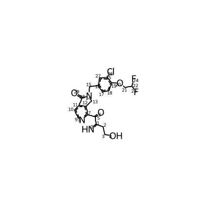 N=C(CCO)C(=O)c1nccc2c1CN(Cc1ccc(OCC(F)F)c(Cl)c1)C2=O